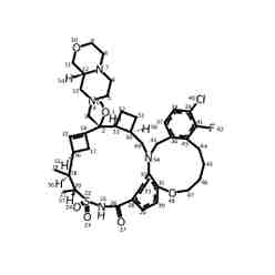 CO[C@@]1(CN2CCN3CCOC[C@H]3C2)C2=C[C@@H](C2)[C@H](C)[C@@H](C)S(=O)(=O)NC(=O)c2ccc3c(c2)N(Cc2ccc(Cl)c(F)c2CCCCO3)C[C@@H]2CC[C@H]21